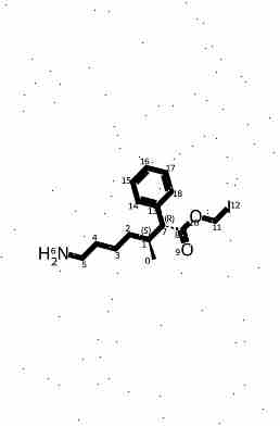 C[C@@H](CCCCN)[C@@H](C(=O)OCI)c1ccccc1